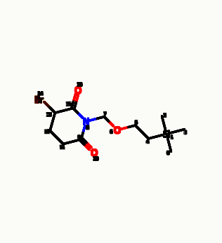 C[Si](C)(C)CCOCN1C(=O)CCC(Br)C1=O